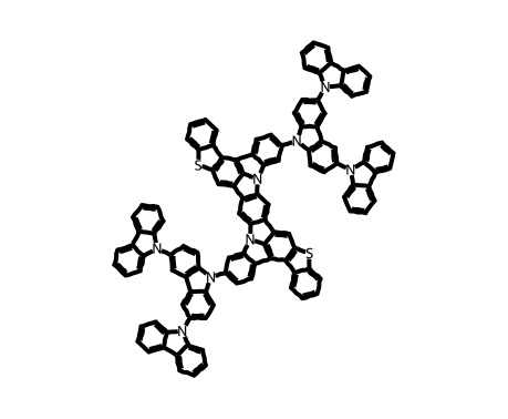 c1ccc2c(c1)sc1cc3c4cc5c(cc4n4c6cc(-n7c8ccc(-n9c%10ccccc%10c%10ccccc%109)cc8c8cc(-n9c%10ccccc%10c%10ccccc%109)ccc87)ccc6c(c12)c34)c1cc2sc3ccccc3c2c2c3ccc(-n4c6ccc(-n7c8ccccc8c8ccccc87)cc6c6cc(-n7c8ccccc8c8ccccc87)ccc64)cc3n5c12